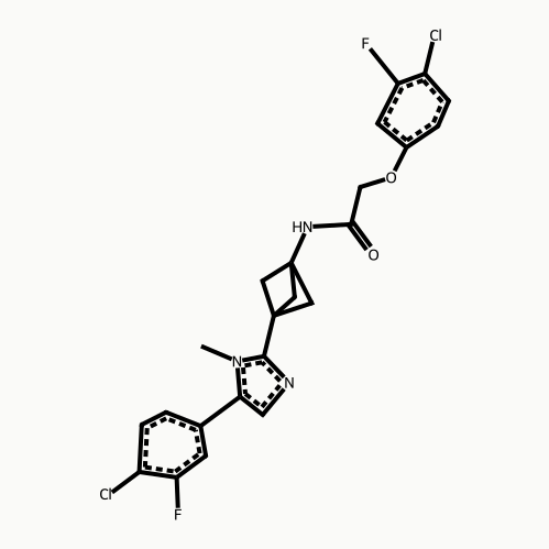 Cn1c(-c2ccc(Cl)c(F)c2)cnc1C12CC(NC(=O)COc3ccc(Cl)c(F)c3)(C1)C2